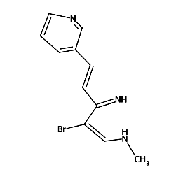 CN/C=C(/Br)C(=N)/C=C/c1cccnc1